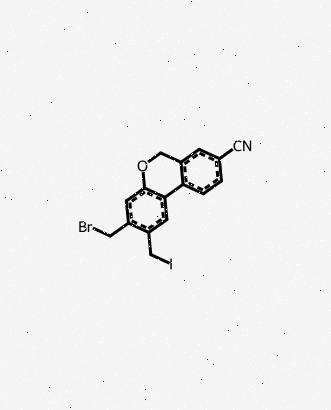 N#Cc1ccc2c(c1)COc1cc(CBr)c(CI)cc1-2